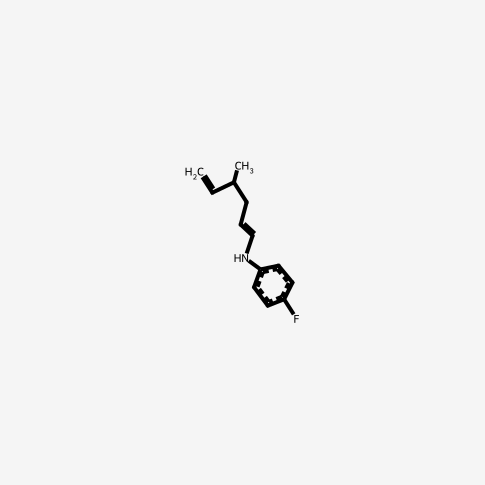 C=CC(C)C/C=C/Nc1ccc(F)cc1